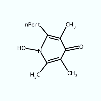 CCCCCc1c(C)c(=O)c(C)c(C)n1O